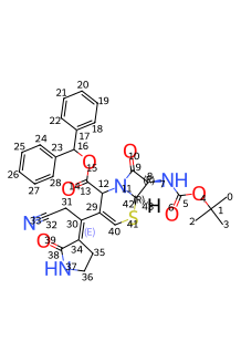 CC(C)(C)OC(=O)N[C@@H]1C(=O)N2C(C(=O)OC(c3ccccc3)c3ccccc3)C(/C(CC#N)=C3\CCNC3=O)=CS[C@H]12